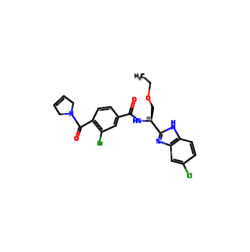 CCOC[C@H](NC(=O)c1ccc(C(=O)N2CC=CC2)c(Br)c1)c1nc2cc(Cl)ccc2[nH]1